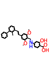 COc1cc(/C=C/c2cccc(-c3ccccc3)c2C)cc(OC)c1CNc1ccc(C(=O)O)c(O)c1